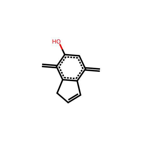 C=c1cc(O)c(=C)c2c1C=CC2